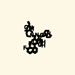 [2H]C([2H])([2H])Oc1c(-c2cccc3ccc(F)c(C#C)c23)ncc2c(N3CCCC(C)(O)C(N(C)C(=O)C=C)C3)nc(OCC34CCCN3CCC4)nc12